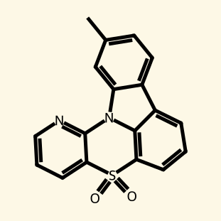 Cc1ccc2c3cccc4c3n(c2c1)-c1ncccc1S4(=O)=O